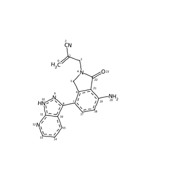 C=C(C#N)CN1Cc2c(-c3n[nH]c4ncccc34)ccc(N)c2C1=O